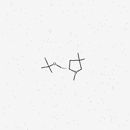 CN1CC(C)(C)C[C@H]1COC(C)(C)C